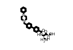 NC[C@H](NC(=O)c1ccc(-c2ccc(CN3CCN(c4ccccc4)CC3)cc2)cc1)C(=O)NO